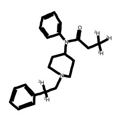 [2H]C([2H])([2H])CC(=O)N(c1ccccc1)C1CCN(CC([2H])([2H])c2ccccc2)CC1